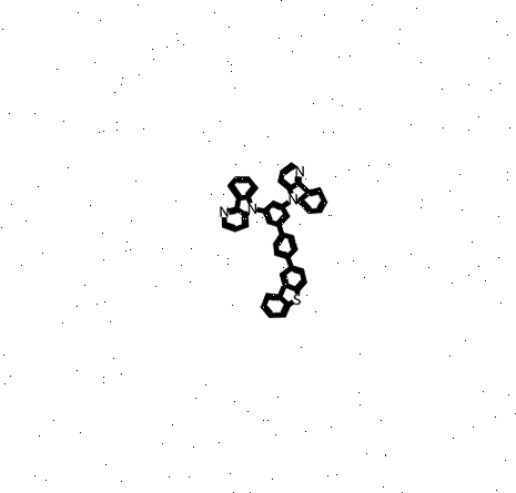 c1ccc2c(c1)sc1ccc(-c3ccc(-c4cc(-n5c6ccccc6c6ncccc65)cc(-n5c6ccccc6c6ncccc65)c4)cc3)cc12